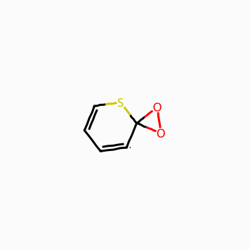 [C]1=CC=CSC12OO2